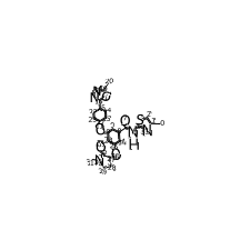 Cc1csc(NC(=O)c2cc(Oc3ccc(-c4nnc(C)o4)cc3)cc(OC3CCN(C)C3=O)c2)n1